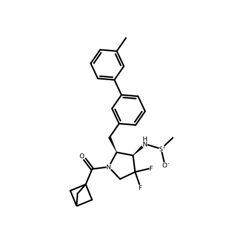 Cc1cccc(-c2cccc(C[C@H]3[C@@H](N[S+](C)[O-])C(F)(F)CN3C(=O)C34CC(C3)C4)c2)c1